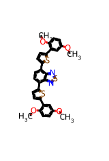 COc1ccc(OC)c(-c2ccc(-c3ccc(-c4ccc(-c5cc(OC)ccc5OC)s4)c4nsnc34)s2)c1